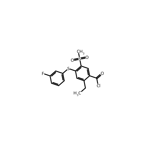 CCc1cc(Sc2cccc(F)c2)c(S(C)(=O)=O)cc1C(=O)Cl